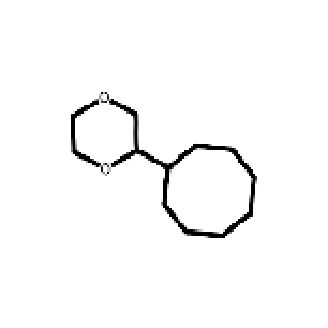 C1CCC[C](C2COCCO2)CCC1